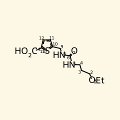 CCOCCCNC(=O)NCc1ccc(C(=O)O)s1